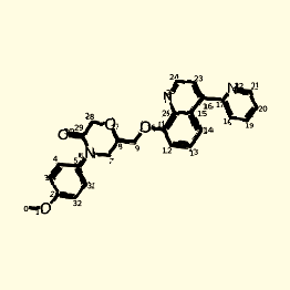 COc1ccc(N2CC(COc3cccc4c(-c5ccccn5)ccnc34)OCC2=O)cc1